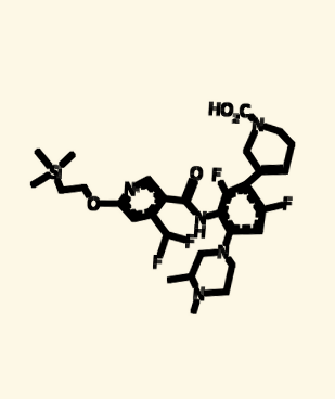 CC1CN(c2cc(F)c(C3=CCCN(C(=O)O)C3)c(F)c2NC(=O)c2cnc(OCC[Si](C)(C)C)cc2C(F)F)CCN1C